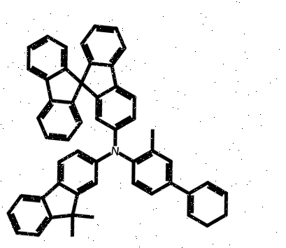 Cc1cc(C2=CCCC=C2)ccc1N(c1ccc2c(c1)C(C)(C)c1ccccc1-2)c1ccc2c(c1)C1(c3ccccc3-c3ccccc31)c1ccccc1-2